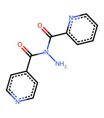 NN(C(=O)c1ccncc1)C(=O)c1ccccn1